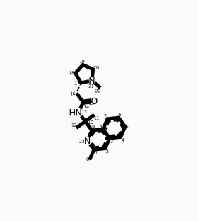 Cc1cc2ccccc2c(C(C)(C)NC(=O)C[C@@H]2CCCN2C)n1